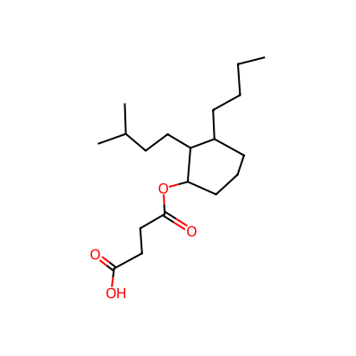 CCCCC1CCCC(OC(=O)CCC(=O)O)C1CCC(C)C